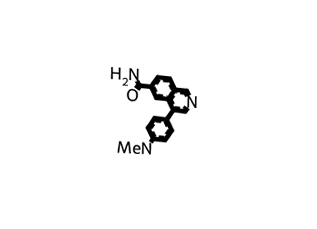 CNc1ccc(-c2cncc3ccc(C(N)=O)cc23)cc1